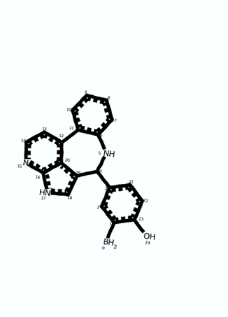 Bc1cc(C2Nc3ccccc3-c3ccnc4[nH]cc2c34)ccc1O